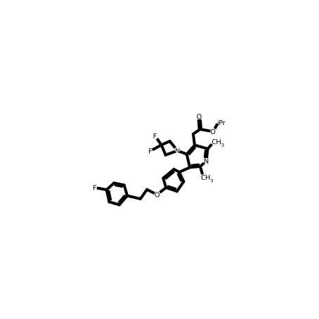 Cc1nc(C)c(-c2ccc(OCCc3ccc(F)cc3)cc2)c(N2CC(F)(F)C2)c1CC(=O)OC(C)C